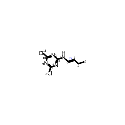 CC/C=C/Nc1nc(Cl)nc(Cl)n1